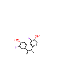 C=C(c1ccc(O)c(I)c1)C(C)c1ccc(O)c(I)c1